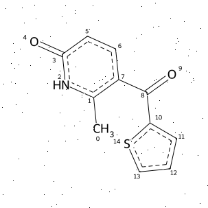 Cc1[nH]c(=O)ccc1C(=O)c1cccs1